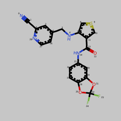 N#Cc1cc(CNc2cscc2C(=O)Nc2ccc3c(c2)OC(F)(F)O3)ccn1